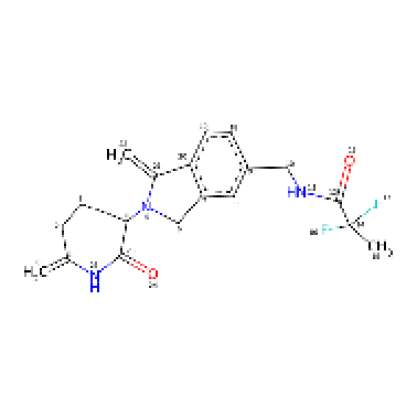 C=C1CCC(N2Cc3cc(CNC(=O)C(C)(F)F)ccc3C2=C)C(=O)N1